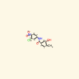 Cc1ccc(C(=O)Nc2ccc([N+](=O)[O-])c(Cl)c2)cc1O